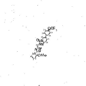 COc1ccccc1-c1nc(Cn2nc3ccc(-c4ccc(OC(F)(F)F)cc4)cn3c2=O)no1